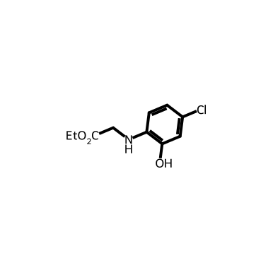 CCOC(=O)CNc1ccc(Cl)cc1O